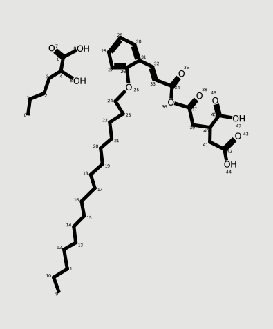 CCCCC(O)C(=O)O.CCCCCCCCCCCCCCCCOc1ccccc1C=CC(=O)OC(=O)CC(CC(=O)O)C(=O)O